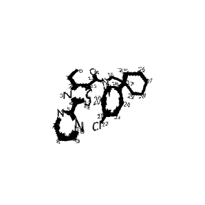 CCc1nc(-c2ncccn2)sc1C(=O)NCC1(c2ccc(Cl)cc2)CCCCC1